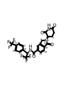 O=C1CCC(N2Cc3cc(C(=O)N[C@H](c4ccc(C(F)(F)F)cc4)C(F)(F)F)ccc3C2=O)C(=O)N1